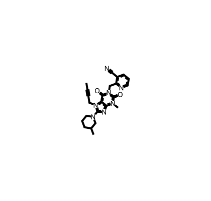 CC#CCn1c(N2CCCC(C)C2)nc2c1c(=O)n(Cc1ncccc1C#N)c(=O)n2C